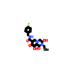 CC(C)(C)CN1C(=O)c2c(O)c(=O)c(C(=O)NCc3ccc(F)cc3)cn2CC1O